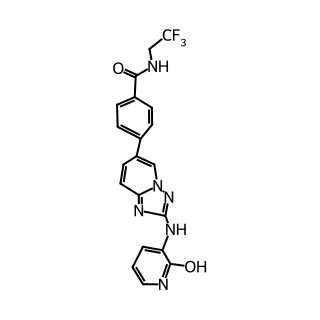 O=C(NCC(F)(F)F)c1ccc(-c2ccc3nc(Nc4cccnc4O)nn3c2)cc1